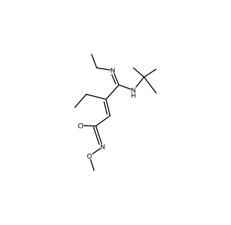 CC/N=C(NC(C)(C)C)\C(=C\C(Cl)=NOC)CC